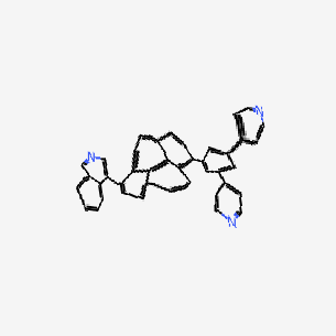 c1ccc2c(-c3ccc4ccc5c(-c6cc(-c7ccncc7)cc(-c7ccncc7)c6)ccc6ccc3c4c65)cncc2c1